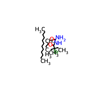 CCC(Br)(CC)C(=O)NC(N)=O.CCCC.CCCCCCCCCCCC